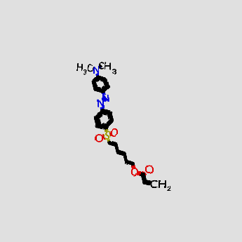 C=CC(=O)OCCCCCCS(=O)(=O)c1ccc(/N=N/c2ccc(N(C)C)cc2)cc1